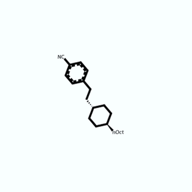 CCCCCCCC[C@H]1CC[C@H](CCc2ccc(C#N)cc2)CC1